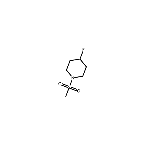 CS(=O)(=O)N1CCC(F)CC1